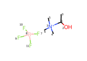 CC(O)[N+](C)(C)C.F[B-](F)(F)F